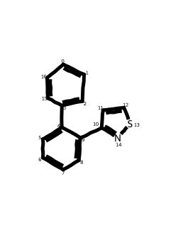 c1ccc(-c2ccccc2-c2ccsn2)cc1